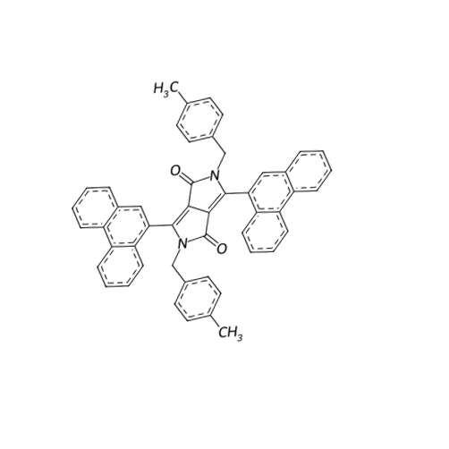 Cc1ccc(CN2C(=O)C3=C(c4cc5ccccc5c5ccccc45)N(Cc4ccc(C)cc4)C(=O)C3=C2c2cc3ccccc3c3ccccc23)cc1